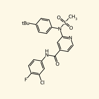 CC(C)(C)c1ccc(N(c2cc(C(=O)Nc3ccc(F)c(Cl)c3)ccn2)S(C)(=O)=O)cc1